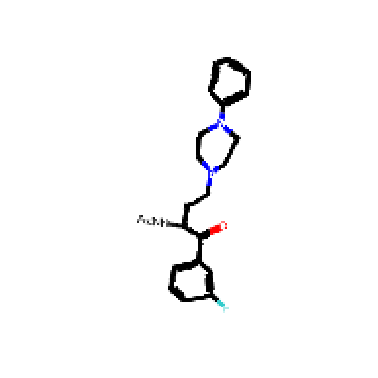 CC(=O)NC(CCN1CCN(c2ccccc2)CC1)C(=O)c1cccc(F)c1